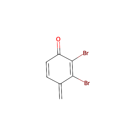 C=C1C=CC(=O)C(Br)=C1Br